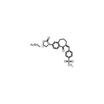 CC(=O)NC[C@H]1CN(c2ccc3c(c2)CCCC(=Cc2ccc(S(C)(=O)=O)cc2)C3=O)C(=O)O1